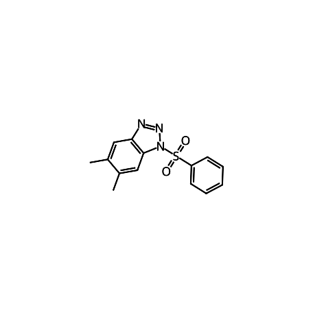 Cc1cc2nnn(S(=O)(=O)c3ccccc3)c2cc1C